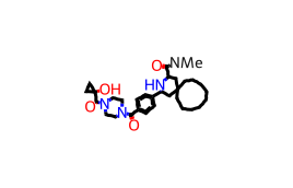 CNC(=O)C1CC2(CCCCCCCCC2)CC(c2ccc(C(=O)N3CCN(C(=O)C4(O)CC4)CC3)cc2)N1